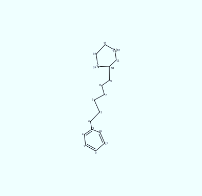 c1ccc(CCCCCCC2C[N]CCS2)cc1